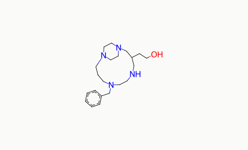 OCCC1CNCCN(Cc2ccccc2)CCCN2CCN(CC2)C1